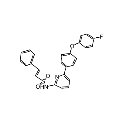 O=S(=O)(C=Cc1ccccc1)Nc1cccc(-c2ccc(Oc3ccc(F)cc3)cc2)n1